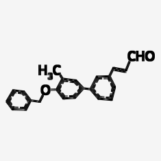 Cc1cc(-c2cccc(/C=C/C=O)c2)ccc1OCc1ccccc1